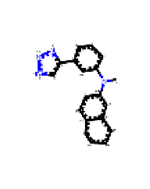 CN(c1cccc(-c2c[nH]nn2)c1)c1ccc2ccccc2c1